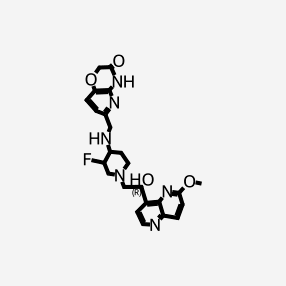 COc1ccc2nccc([C@@H](O)CN3CCC(NCc4ccc5c(n4)NC(=O)CO5)C(F)C3)c2n1